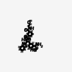 COCCNC(=O)c1cccc(S(=O)(=O)NC(Cc2cccc(/C(N)=N\O)c2)c2nc3ccccc3s2)c1